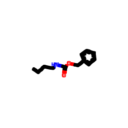 CCC[CH]NC(=O)OCc1ccccc1